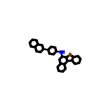 c1ccc2cc(-c3ccc(Nc4cc5ccccc5c5c4sc4ccccc45)cc3)ccc2c1